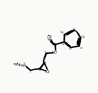 CCCCCCCCCCC1OC1COC(=O)c1ccccc1